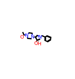 CC(=O)N1CCN([C@@H]2CN(Cc3ccccc3)C[C@H]2O)CC1